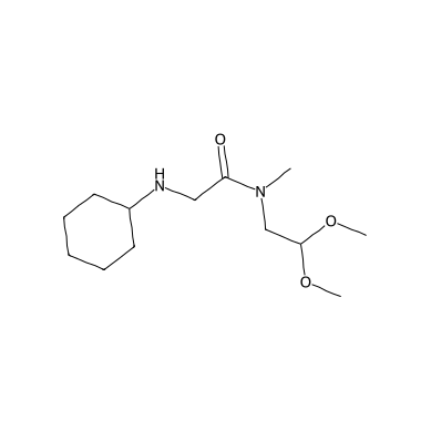 COC(CN(C)C(=O)CNC1CCCCC1)OC